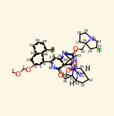 COCOc1cc(-c2nc3c4c(nc(OC[C@@]56CCCN5C[C@@H](F)C6)nc4c2F)N2C[C@H]4CC[C@@H]([C@@H]2CO3)N4C(=O)OC(C)(C)C)c2c(F)cccc2c1